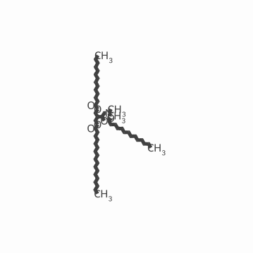 CCCCCCCCCCCCCCCCCC(=O)OCC(COC(=O)CCCCCCCCCCCCC)C(CN(C)C)OC(=O)CCCCCCCCCCCCC